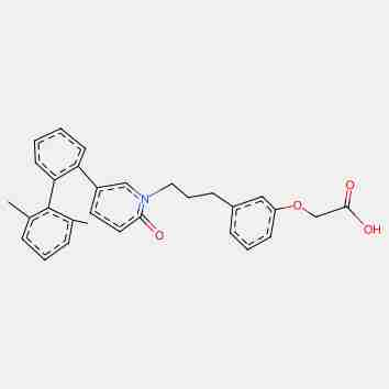 Cc1cccc(C)c1-c1ccccc1-c1ccc(=O)n(CCCc2cccc(OCC(=O)O)c2)c1